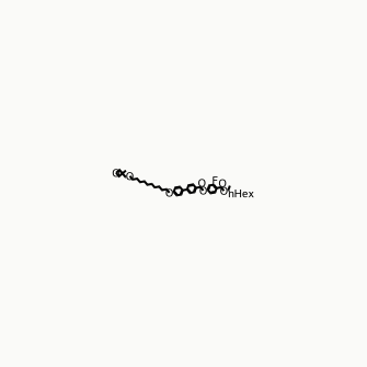 CCCCCC[C@@H](C)OC(=O)c1ccc(OC(=O)c2ccc(-c3ccc(OCCCCCCCCCCOCC4(C)COC4)cc3)cc2)cc1F